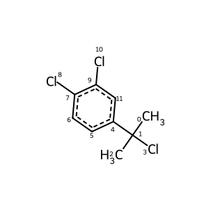 CC(C)(Cl)c1ccc(Cl)c(Cl)c1